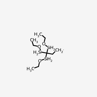 [CH2]CC([SiH2]OCC)([SiH2]OCC)[SiH2]OCC